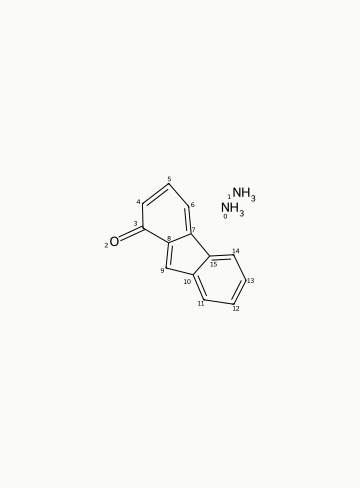 N.N.O=C1C=CC=C2C1=Cc1ccccc12